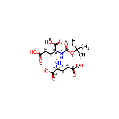 CC(C)(C)OC(=O)N[C@@H](CCC(=O)O)C(=O)O.N[C@@H](CCC(=O)O)C(=O)O